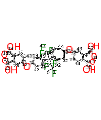 CC(C)(F)C(F)(F)C(c1ccc(Oc2ccc(C(=O)O)c(C(=O)O)c2)cc1)(c1ccc(Oc2ccc(C(=O)O)c(C(=O)O)c2)cc1)C(F)(F)F